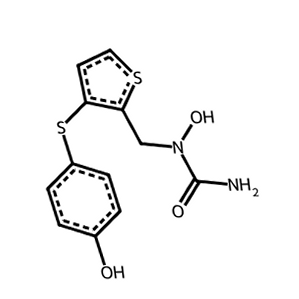 NC(=O)N(O)Cc1sccc1Sc1ccc(O)cc1